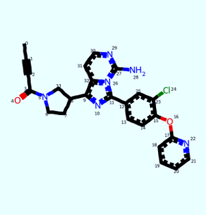 CC#CC(=O)N1CCC(c2nc(-c3ccc(Oc4ccccn4)c(Cl)c3)n3c(N)nccc23)C1